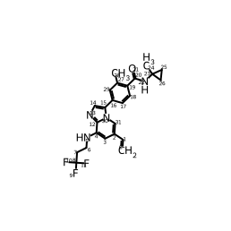 C=Cc1cc(NCCC(F)(F)F)c2ncc(-c3ccc(C(=O)NC4(C)CC4)c(C)c3)n2c1